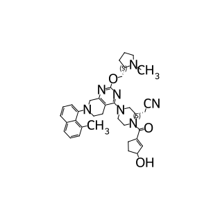 Cc1cccc2cccc(N3CCc4c(nc(OC[C@@H]5CCCN5C)nc4N4CCN(C(=O)C5=CC(O)CC5)[C@@H](CC#N)C4)C3)c12